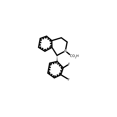 O=C(O)N1CCc2ccccc2[C@H]1c1cccc(F)c1F